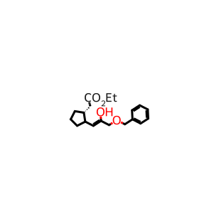 CCOC(=O)C[C@H]1CCCC1C=C(O)COCc1ccccc1